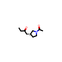 CCC(=O)C[C@@H]1CCN(C(C)=O)C1